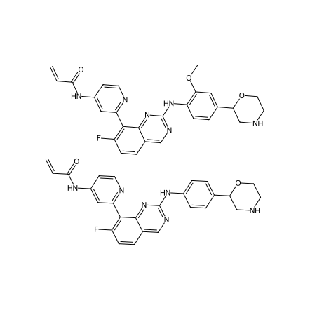 C=CC(=O)Nc1ccnc(-c2c(F)ccc3cnc(Nc4ccc(C5CNCCO5)cc4)nc23)c1.C=CC(=O)Nc1ccnc(-c2c(F)ccc3cnc(Nc4ccc(C5CNCCO5)cc4OC)nc23)c1